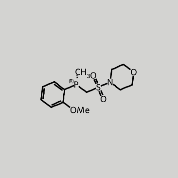 COc1ccccc1[P@](C)CS(=O)(=O)N1CCOCC1